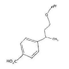 CCCOCCC(C)c1ccc(C(=O)O)cc1